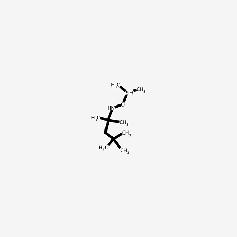 C[SiH](C)ONC(C)(C)CC(C)(C)C